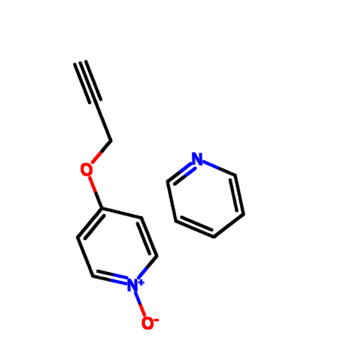 C#CCOc1cc[n+]([O-])cc1.c1ccncc1